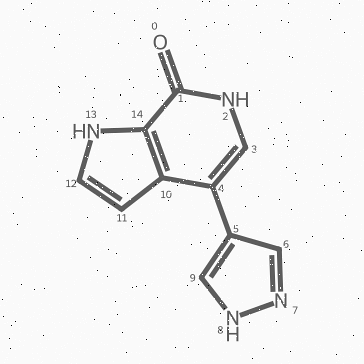 O=c1[nH]cc(-c2cn[nH]c2)c2cc[nH]c12